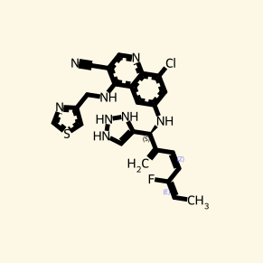 C=C(/C=C\C(F)=C/C)[C@H](Nc1cc(Cl)c2ncc(C#N)c(NCc3cscn3)c2c1)C1=CNNN1